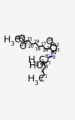 CCCC[C@](C)(O)C/C=C/[C@H]1CCC(=O)C1CCCCCCC(=O)OC